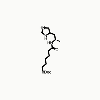 CCCCCCCCCCCCCCCC(=O)N[C@H](C)CC1CNCN1